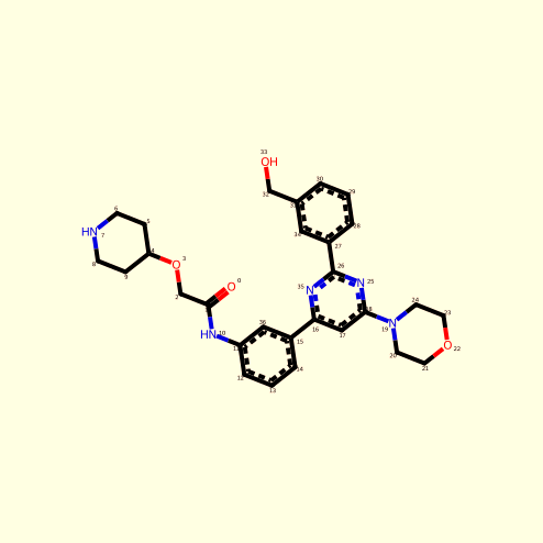 O=C(COC1CCNCC1)Nc1cccc(-c2cc(N3CCOCC3)nc(-c3cccc(CO)c3)n2)c1